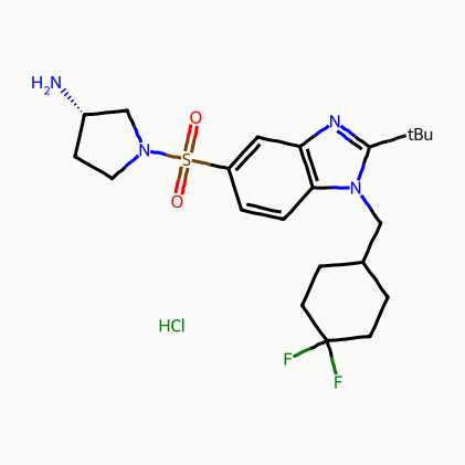 CC(C)(C)c1nc2cc(S(=O)(=O)N3CC[C@H](N)C3)ccc2n1CC1CCC(F)(F)CC1.Cl